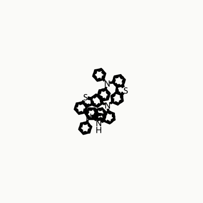 c1ccc(N(c2ccccc2)c2cccc3sc4ccc(N(c5ccc6sc7cccc(N(c8ccccc8)c8ccccc8)c7c6c5)c5cccc6[nH]c7ccccc7c56)cc4c23)cc1